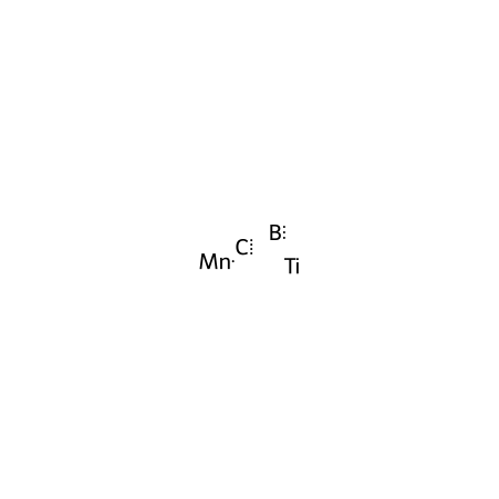 [B].[C].[Mn].[Ti]